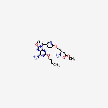 CCCCOc1nc(N)c2nc(OC)n(Cc3ccc(OCCC(N)CC(=O)OC)nc3)c2n1